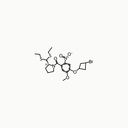 CCSC(SCC)[C@@H]1CCCN1C(=O)c1cc(OC)c(OC2CC(Br)C2)cc1[N+](=O)[O-]